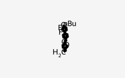 C=CC1CCC(OCc2ccc(-c3ccc(OCCCC)c(F)c3F)cc2)OC1